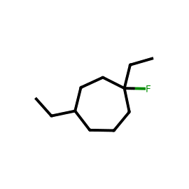 CCC1CCCC(F)(CC)CC1